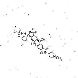 COc1cc(C(=O)NC2CCN(C)CC2)c(Cl)cc1Nc1ncc(C(F)(F)F)c(O[C@@H]2CCC[C@H]2NS(=O)(=O)C2CC2)n1